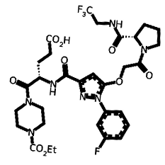 CCOC(=O)N1CCN(C(=O)[C@H](CCC(=O)O)NC(=O)c2cc(OCC(=O)N3CCC[C@H]3C(=O)NCC(F)(F)F)n(-c3cccc(F)c3)n2)CC1